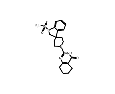 CS(=O)(=O)N1CC2(CCN(c3nc4c(c(=O)[nH]3)CCCC4)CC2)c2ccccc21